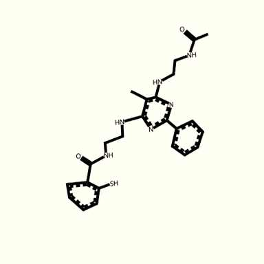 CC(=O)NCCNc1nc(-c2ccccc2)nc(NCCNC(=O)c2ccccc2S)c1C